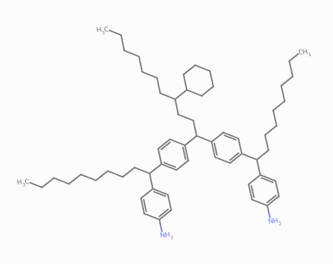 CCCCCCCCCC(c1ccc(N)cc1)c1ccc(C(CCC(CCCCCCC)C2CCCCC2)c2ccc(C(CCCCCCCCC)c3ccc(N)cc3)cc2)cc1